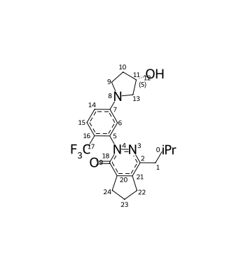 CC(C)Cc1nn(-c2cc(N3CC[C@H](O)C3)ccc2C(F)(F)F)c(=O)c2c1CCC2